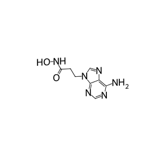 Nc1ncnc2c1ncn2CCC(=O)NO